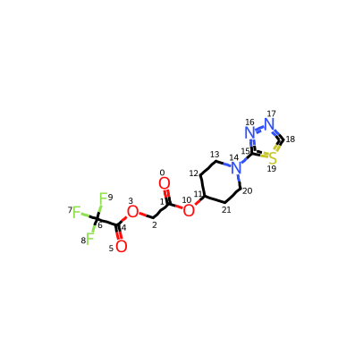 O=C(COC(=O)C(F)(F)F)OC1CCN(c2nncs2)CC1